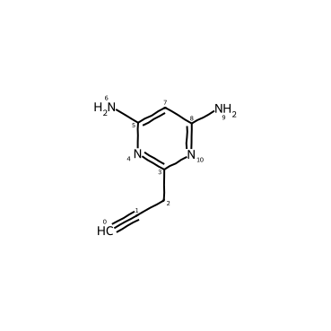 C#CCc1nc(N)cc(N)n1